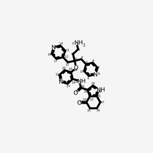 NCCC(Cc1ccncc1)(Cc1ccncc1)Oc1ccncc1NC(=O)c1c[nH]c2c1C(=O)CCC2